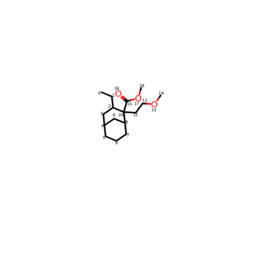 CCC1CC2CCCC(C2)C1(CCOC)C(=O)OC